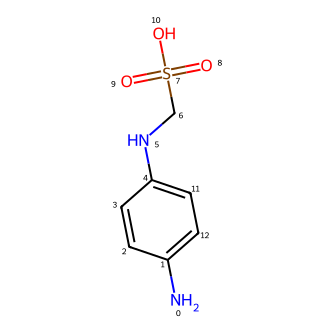 Nc1ccc(NCS(=O)(=O)O)cc1